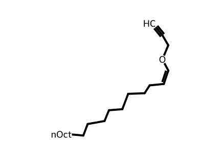 C#CCO/C=C\CCCCCCCCCCCCCCCC